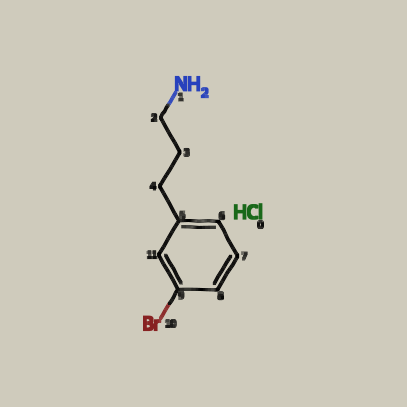 Cl.NCCCc1cccc(Br)c1